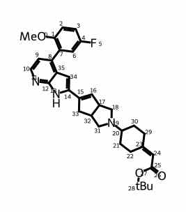 COc1ccc(F)cc1-c1ccnc2[nH]c(C3=CC4CN(C5CCC(=CC(=O)OC(C)(C)C)CC5)CC4C3)cc12